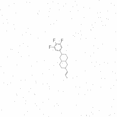 C/C=C/C1CCC2CC(c3cc(F)c(F)c(F)c3)CCC2C1